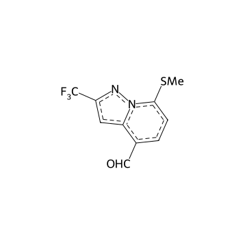 CSc1ccc(C=O)c2cc(C(F)(F)F)nn12